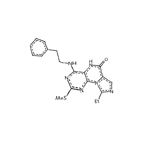 CCc1ncc2c(=O)[nH]c3c(NCCc4ccccc4)nc(SC)nc3n12